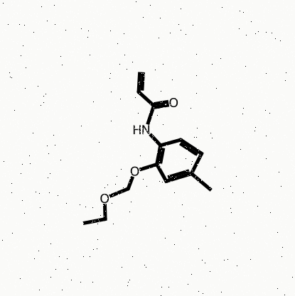 C=CC(=O)Nc1ccc(C)cc1OCOCC